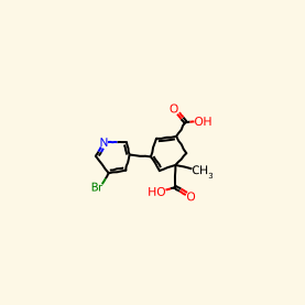 CC1(C(=O)O)C=C(c2cncc(Br)c2)C=C(C(=O)O)C1